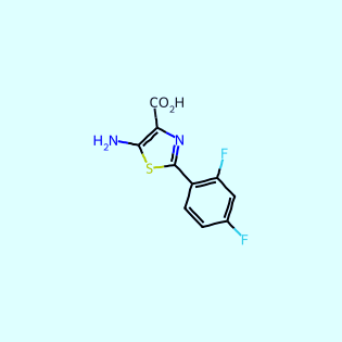 Nc1sc(-c2ccc(F)cc2F)nc1C(=O)O